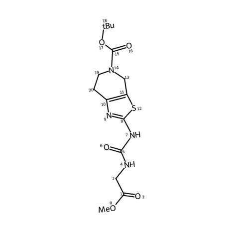 COC(=O)CNC(=O)Nc1nc2c(s1)CN(C(=O)OC(C)(C)C)CC2